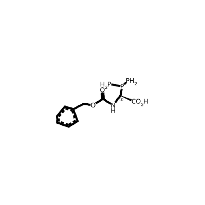 O=C(N[C@H](C(=O)O)P(P)P)OCc1ccccc1